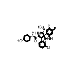 CC(C)(C)C[C@H]1N[C@@H](C(=O)N[C@H]2CC[C@H](O)CC2)[C@H](c2cccc(Cl)c2)[C@@]12C(=O)Nc1cc(F)c(F)cc12